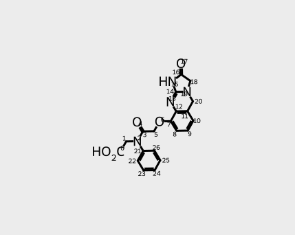 O=C(O)CN(C(=O)COc1cccc2c1N=C1NC(=O)CN1C2)c1ccccc1